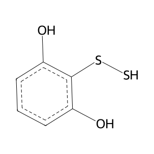 Oc1cccc(O)c1SS